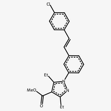 CCc1nn(-c2cccc(C=Cc3ccc(Cl)cc3)c2)c(CC)c1C(=O)OC